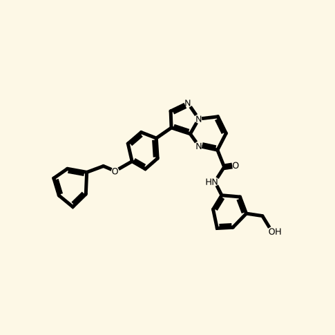 O=C(Nc1cccc(CO)c1)c1ccn2ncc(-c3ccc(OCc4ccccc4)cc3)c2n1